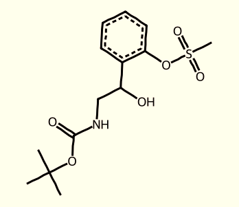 CC(C)(C)OC(=O)NCC(O)c1ccccc1OS(C)(=O)=O